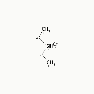 CC[SiH]([Cr])CC